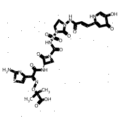 CC(C)(ON=C(C(=O)N[C@H]1CN(C(=O)NS(=O)(=O)N2CCN(NC(=O)C=Cc3cc(=O)c(O)c[nH]3)C2=O)C1=O)c1csc(N)n1)C(=O)O